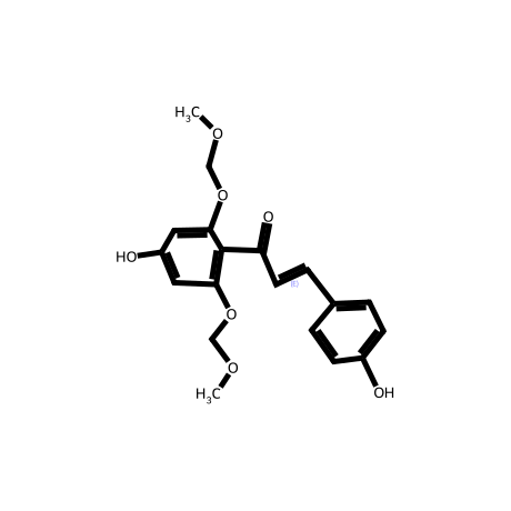 COCOc1cc(O)cc(OCOC)c1C(=O)/C=C/c1ccc(O)cc1